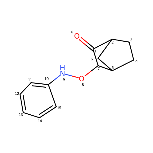 O=C1C2CCC(C2)C1ONc1ccccc1